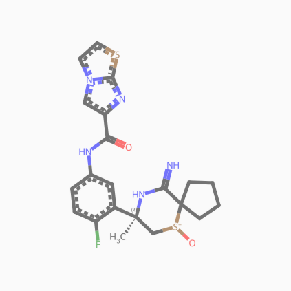 C[C@@]1(c2cc(NC(=O)c3cn4ccsc4n3)ccc2F)C[S+]([O-])C2(CCCC2)C(=N)N1